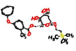 Cc1cc(Oc2ccccc2)ccc1C(=O)OC[C@H]1O[C@@H](OCCS(C)(C)C)C[C@@H](O)[C@@H]1O